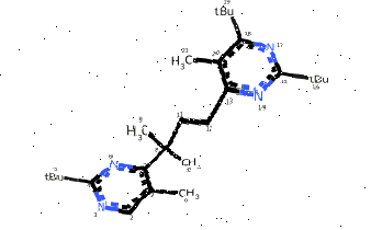 Cc1cnc(C(C)(C)C)nc1C(C)(C)CCc1nc(C(C)(C)C)nc(C(C)(C)C)c1C